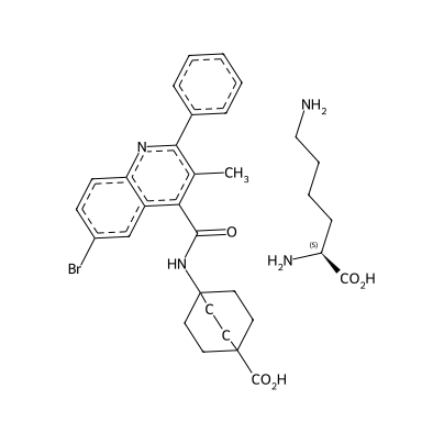 Cc1c(-c2ccccc2)nc2ccc(Br)cc2c1C(=O)NC12CCC(C(=O)O)(CC1)CC2.NCCCC[C@H](N)C(=O)O